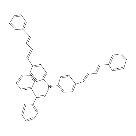 C(C=Cc1ccc(N(C=C(c2ccccc2)c2ccccc2)c2ccc(C=CC=Cc3ccccc3)cc2)cc1)=Cc1ccccc1